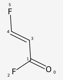 O=C(F)C=CF